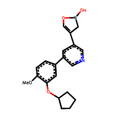 COc1ccc(-c2cncc(C3=COB(O)C3)c2)cc1OC1CCCC1